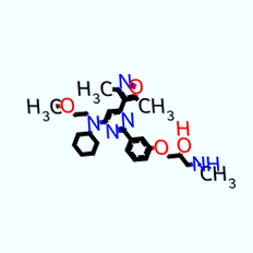 CNCC(O)COc1cccc(-c2nc(-c3c(C)noc3C)cc(N(CCOC)C3CCCCC3)n2)c1